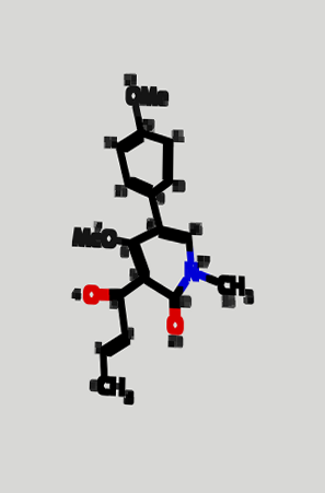 C/C=C/C(=O)c1c(OC)c(-c2ccc(OC)cc2)cn(C)c1=O